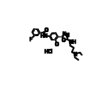 CCN(CC)CCCNc1nnc(-c2ccc(NC(=O)c3cccc(F)c3)cc2OC)o1.Cl